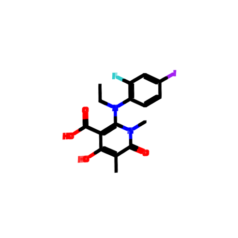 CCN(c1ccc(I)cc1F)c1c(C(=O)O)c(O)c(C)c(=O)n1C